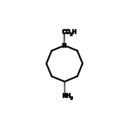 NC1CCCN(C(=O)O)CCC1